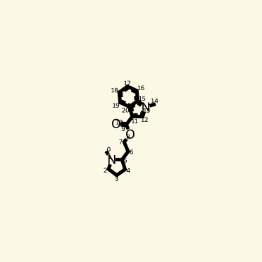 CN1CCCC1CCOC(=O)c1cn(C)c2ccccc12